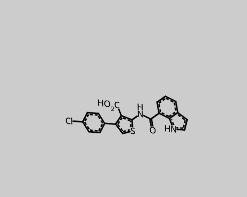 O=C(O)c1c(-c2ccc(Cl)cc2)csc1NC(=O)c1cccc2cc[nH]c12